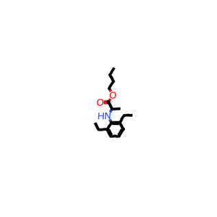 CCCCOC(=O)C(C)Nc1c(CC)cccc1CC